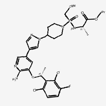 COCP(=O)(N[C@@H](C)C(=O)OC(C)C)N1CCC(n2cc(-c3cnc(N)c(O[C@H](C)c4c(Cl)ccc(F)c4Cl)c3)cn2)CC1